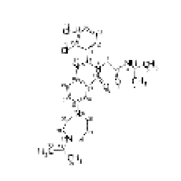 CC(C)NC(=O)Cn1c(-c2cccc(Cl)c2Cl)nc2ccc(N3CCCN(C(C)C)CC3)cc2c1=O